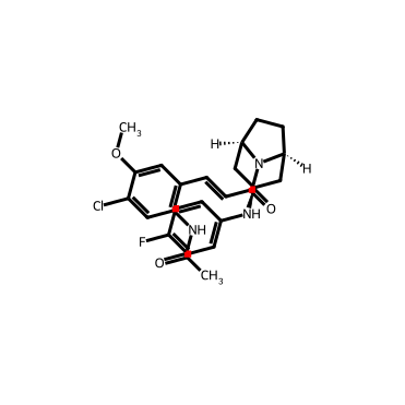 COc1cc(/C=C/C(=O)N2[C@@H]3CC[C@H]2C[C@@H](Nc2ccc(F)cc2)C3)c(NC(C)=O)cc1Cl